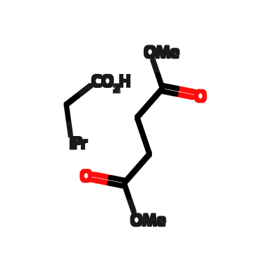 CC(C)CC(=O)O.COC(=O)CCC(=O)OC